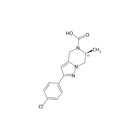 C[C@H]1Cn2nc(-c3ccc(Cl)cc3)cc2CN1C(=O)O